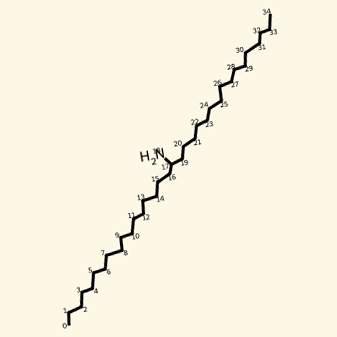 CCCCCCCCCCCCCCCCCC(N)CCCCCCCCCCCCCCCC